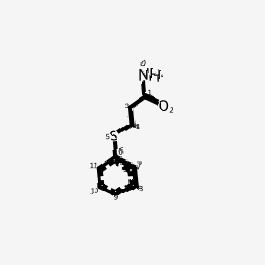 [NH]C(=O)CCSc1ccccc1